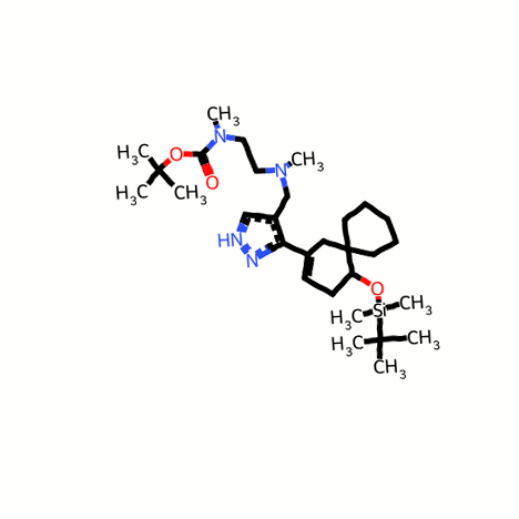 CN(CCN(C)C(=O)OC(C)(C)C)Cc1c[nH]nc1C1=CCC(O[Si](C)(C)C(C)(C)C)C2(CCCCC2)C1